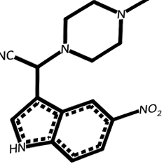 CN1CCN(C(C#N)c2c[nH]c3ccc([N+](=O)[O-])cc23)CC1